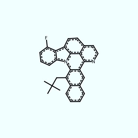 CC(C)(C)Cc1c2ccccc2cc2c3nccc4ccc5c6c(F)cccc6n(c12)c5c43